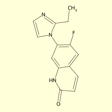 CCc1nccn1-c1cc2[nH]c(=O)ccc2cc1F